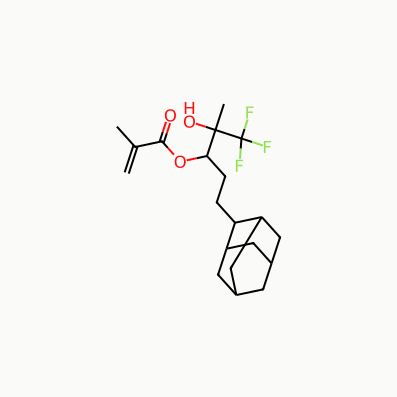 C=C(C)C(=O)OC(CCC1C2CC3CC(C2)CC1C3)C(C)(O)C(F)(F)F